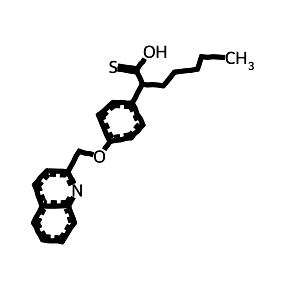 CCCCCC(C(O)=S)c1ccc(OCc2ccc3ccccc3n2)cc1